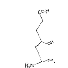 NC(N)CC(O)CCC(=O)O